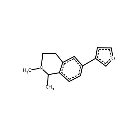 CC1c2ccc(-c3ccoc3)cc2CCN1C